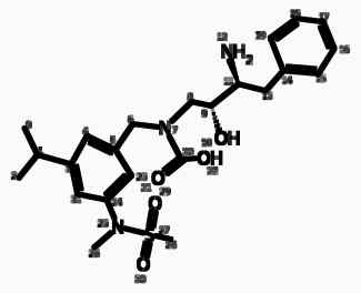 CC(C)c1cc(CN(C[C@@H](O)[C@@H](N)Cc2ccccc2)C(=O)O)cc(N(C)S(C)(=O)=O)c1